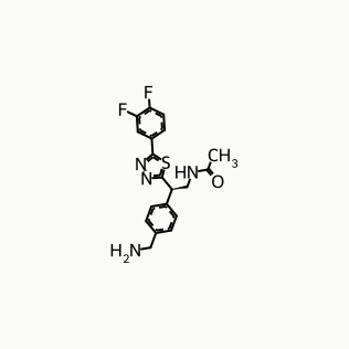 CC(=O)NC[C@@H](c1ccc(CN)cc1)c1nnc(-c2ccc(F)c(F)c2)s1